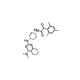 Cc1cc(C)c(C(=O)C(=O)N[C@H]2CC[C@@H](Nc3nc4c(c(N(C)C)n3)CCCC4)CC2)c(C)c1